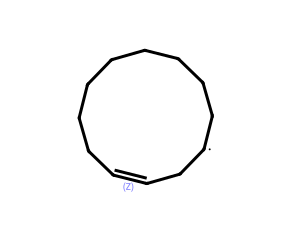 [CH]1C/C=C\CCCCCCCC1